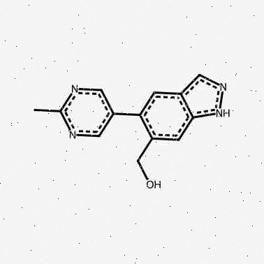 Cc1ncc(-c2cc3cn[nH]c3cc2CO)cn1